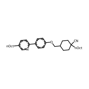 CCCCCCCCc1ccc(-c2ccc(OCC3CCC(C#N)(CCCCCCCC)CC3)cc2)nc1